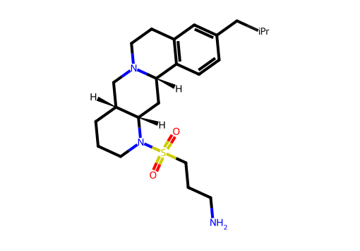 CC(C)Cc1ccc2c(c1)CCN1C[C@H]3CCCN(S(=O)(=O)CCCN)[C@H]3C[C@@H]21